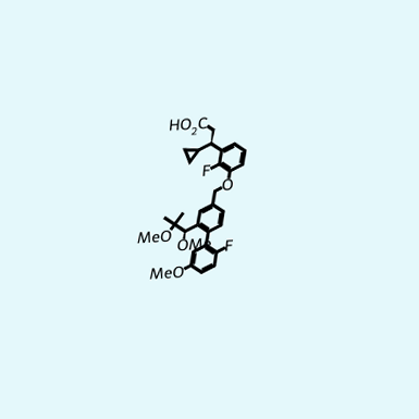 COc1ccc(F)c(-c2ccc(COc3cccc([C@H](CC(=O)O)C4CC4)c3F)cc2[C@@H](OC)C(C)(C)OC)c1